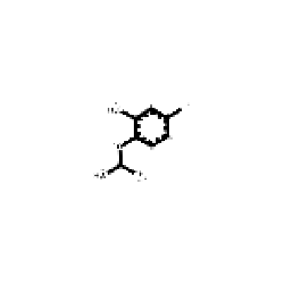 [CH2]c1cc(F)ccc1OC(C)C